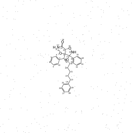 COC1(C(C)c2ccccc2)C(C(N)=O)ONC1(OCCCCCc1ccccc1)c1ccccc1